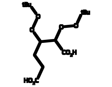 CC(C)(C)OOC(CCC(=O)O)C(OOC(C)(C)C)C(=O)O